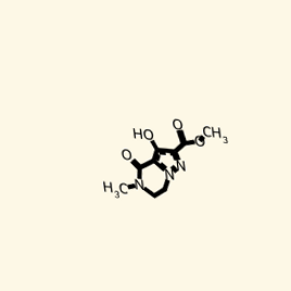 COC(=O)c1nn2c(c1O)C(=O)N(C)CC2